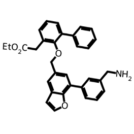 CCOC(=O)Cc1cccc(-c2ccccc2)c1OCc1cc(-c2cccc(CN)c2)c2occc2c1